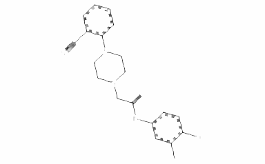 Cc1cc(NC(=O)CN2CCN(c3ccccc3C#N)CC2)ccc1Br